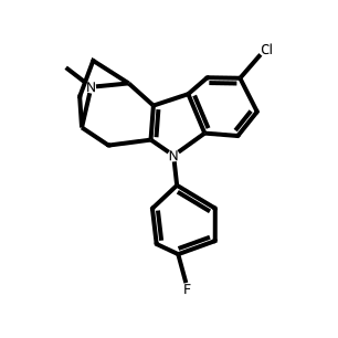 CN1C2CCC1c1c(n(-c3ccc(F)cc3)c3ccc(Cl)cc13)C2